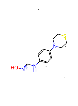 O/N=C/Nc1ccc(N2CCSCC2)cc1